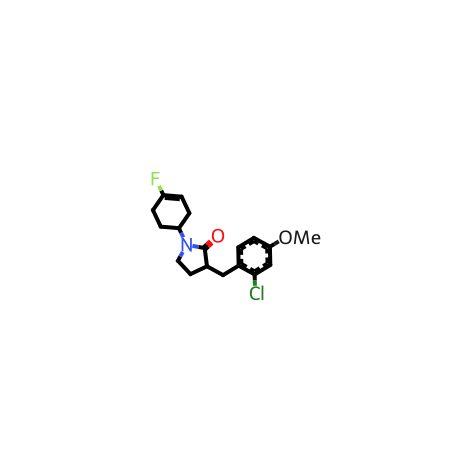 COc1ccc(CC2CCN(C3CC=C(F)CC3)C2=O)c(Cl)c1